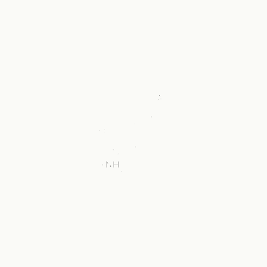 CC(=O)SC=CC(N)=O